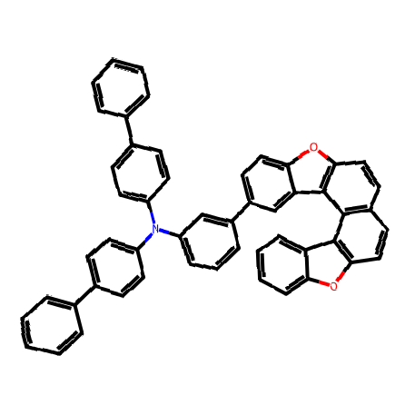 c1ccc(-c2ccc(N(c3ccc(-c4ccccc4)cc3)c3cccc(-c4ccc5oc6ccc7ccc8oc9ccccc9c8c7c6c5c4)c3)cc2)cc1